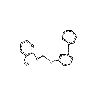 O=C(O)c1ccccc1OCOc1cccc(-c2ccccc2)c1